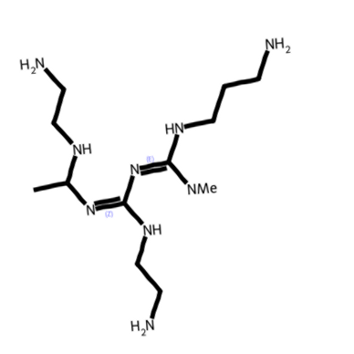 CN/C(=N\C(=N/C(C)NCCN)NCCN)NCCCN